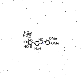 COc1ccc(/C(C#N)=C/c2ccc([C@@H]3O[C@H](COP(=O)(O)O)[C@@H](O)[C@H](O)[C@H]3O)cc2)cc1OC.[NaH]